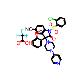 CCOc1ccccc1C1(N2CCN(c3ccncc3)CC2)C(=O)N(S(=O)(=O)c2ccccc2Cl)c2ccc(C#N)cc21.O=C(O)C(F)(F)F